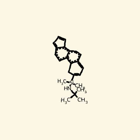 CC(C)(C)N[Si](C)(C)C1=CC=c2ccc3c4c(ccc3c2C1)=CC=C4